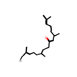 CC(=O)CC(C)CCCC(C)CCC(=O)CC(C)CCC=C(C)C